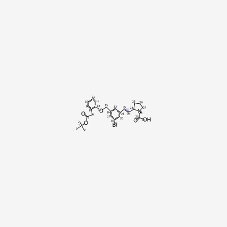 CC(C)(C)OC(=O)Cc1ccccc1OCc1cc(Br)cc(/C=C/C2CCCN2C(=O)O)c1